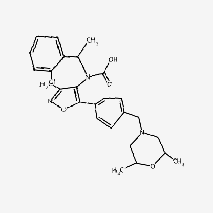 Cc1noc(-c2ccc(CN3CC(C)OC(C)C3)cc2)c1N(C(=O)O)C(C)c1ccccc1Cl